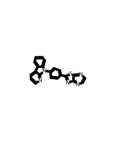 c1ccc2c(c1)c1cccnc1n2-c1ccc(-c2nc3nccnc3s2)cc1